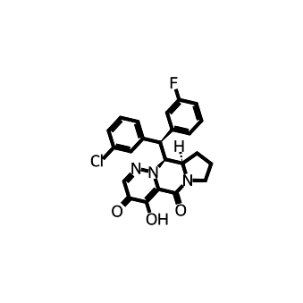 O=C1c2c(O)c(=O)cnn2[C@@H]([C@H](c2cccc(F)c2)c2cccc(Cl)c2)[C@H]2CCCN12